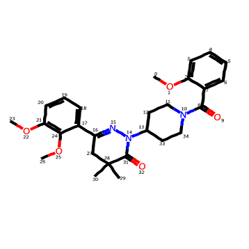 COc1ccccc1C(=O)N1CCC(N2N=C(c3cccc(OC)c3OC)CC(C)(C)C2=O)CC1